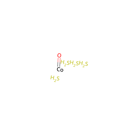 S.S.S.S.[O]=[Co]